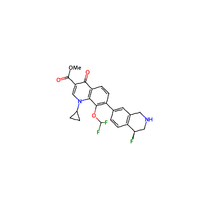 COC(=O)c1cn(C2CC2)c2c(OC(F)F)c(-c3ccc4c(c3)CNC[C@H]4F)ccc2c1=O